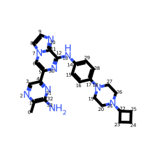 Cc1ncc(-c2cn3ccnc3c(Nc3ccc(N4CCN(C5CCC5)CC4)cc3)n2)nc1N